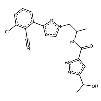 CC(Cn1ccc(-c2cccc(Cl)c2C#N)n1)NC(=O)c1cc(C(C)O)n[nH]1